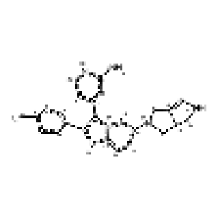 Nc1cc(-c2c(-c3ccc(Cl)cc3)nc3ccc(N4CC5=CNCC5C4)nn23)ccn1